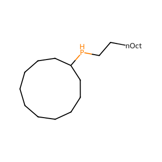 CCCCCCCCCCPC1CCCCCCCCCC1